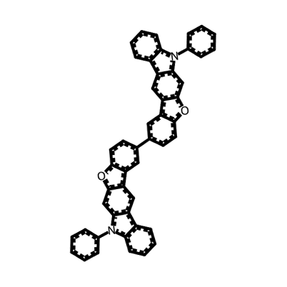 c1ccc(-n2c3ccccc3c3cc4c(cc32)oc2ccc(-c3ccc5oc6cc7c(cc6c5c3)c3ccccc3n7-c3ccccc3)cc24)cc1